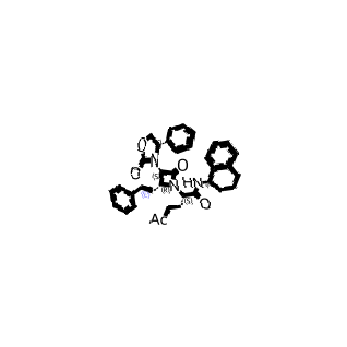 CC(=O)CC[C@@H](C(=O)N[C@@H]1CCCc2ccccc21)N1C(=O)[C@@H](N2C(=O)OC[C@@H]2c2ccccc2)[C@H]1/C=C/c1ccccc1